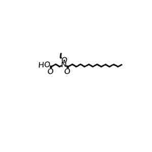 CCCCCCCCCCCCCC(=O)N(CCC(=O)O)OCC